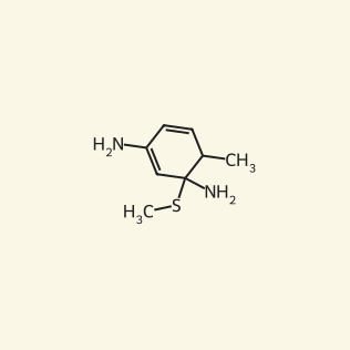 CSC1(N)C=C(N)C=CC1C